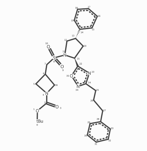 CC(C)(C)OC(=O)N1CC(CS(=O)(=O)N2C[C@H](c3ccccc3)C[C@H]2c2nc(CCCc3ccccc3)no2)C1